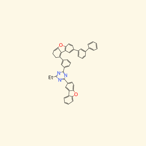 CCc1nc(-c2cccc(C3=c4c(oc5ccc(-c6cccc(-c7ccccc7)c6)cc45)=CCC3)c2)nc(-c2ccc3oc4ccccc4c3c2)n1